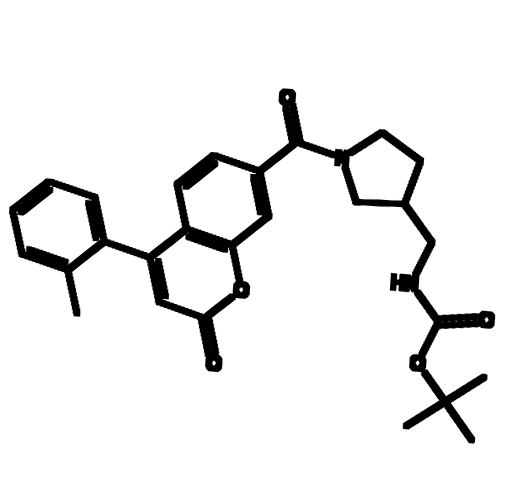 Cc1ccccc1-c1cc(=O)oc2cc(C(=O)N3CCC(CNC(=O)OC(C)(C)C)C3)ccc12